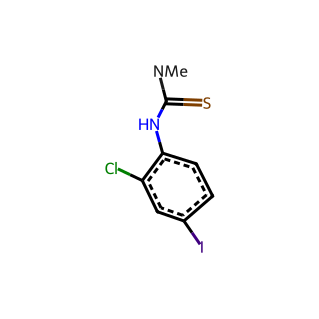 CNC(=S)Nc1ccc(I)cc1Cl